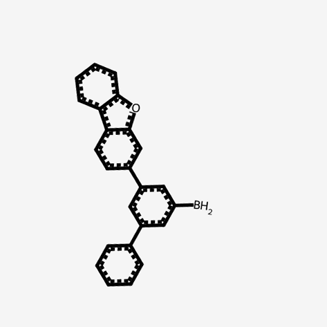 Bc1cc(-c2ccccc2)cc(-c2ccc3c(c2)oc2ccccc23)c1